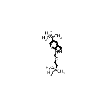 C[Si](C)(C)CCOCn1ncc2c[c]([Sn]([CH3])([CH3])[CH3])cnc21